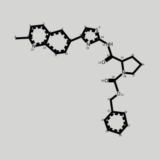 Cc1ccc2cc(-c3csc(NC(=O)C4CCCN4C(=O)OCc4ccccc4)n3)ccc2n1